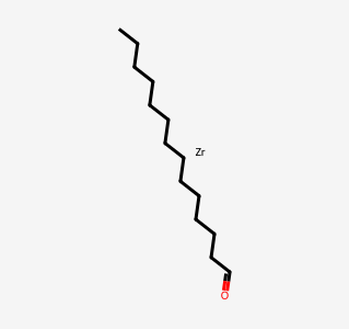 CCCCCCCCCCCCCC=O.[Zr]